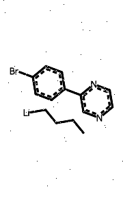 Brc1ccc(-c2cnccn2)cc1.[Li][CH2]CCC